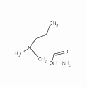 CCCN(C)C.N.O=CO